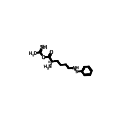 CC(=N)OC(=O)[C@@H](N)CCCCNSc1ccccc1